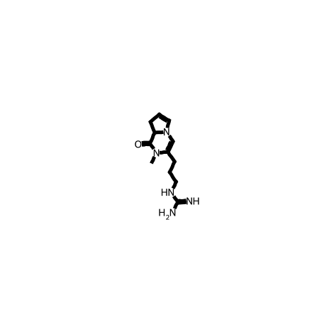 CN1C(=O)C2CC=CN2C=C1CCCNC(=N)N